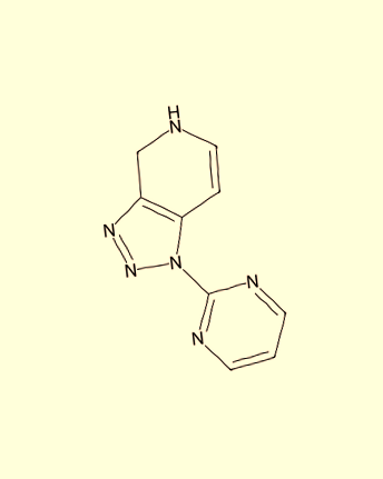 C1=Cc2c(nnn2-c2ncccn2)CN1